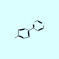 Ic1ccc(-c2ccncn2)cc1